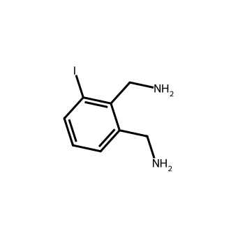 NCc1cccc(I)c1CN